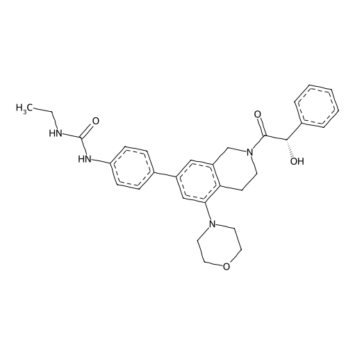 CCNC(=O)Nc1ccc(-c2cc3c(c(N4CCOCC4)c2)CCN(C(=O)[C@@H](O)c2ccccc2)C3)cc1